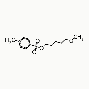 COCCCCCOS(=O)(=O)c1ccc(C)cc1